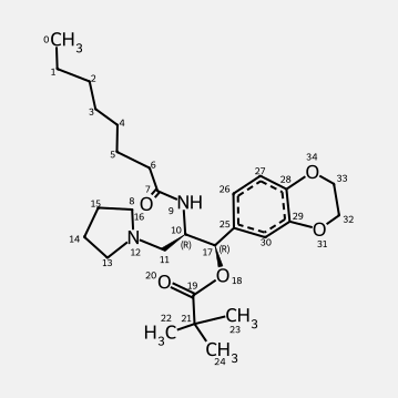 CCCCCCCC(=O)N[C@H](CN1CCCC1)[C@H](OC(=O)C(C)(C)C)c1ccc2c(c1)OCCO2